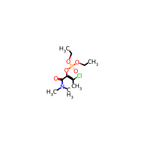 CCOP(=O)(OCC)OC(C(=O)N(C)C)=C(C)Cl